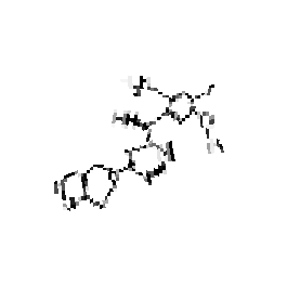 CC(C)Oc1cc(C(=N)C2C=C(N3CCc4oncc4C3)N=CN2)c(N)cc1F